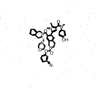 Cc1c(C(=O)N(C)c2ccc(O)cc2)cc(-c2cc3c(cc2C(=O)N2Cc4ccccc4C[C@H]2CN2CCOCC2)CN(C(=O)Oc2cccc(C#N)c2)CC3)n1C